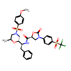 COc1ccc(S(=O)(=O)N2CC(C)O[C@@H]([C@H](Cc3ccccc3)NC(=O)[C@@H]3CN(c4ccc(S(=O)(=O)C(F)(F)F)cc4)C(=O)O3)C2)cc1